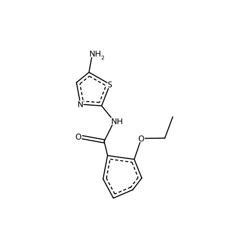 CCOc1ccccc1C(=O)Nc1ncc(N)s1